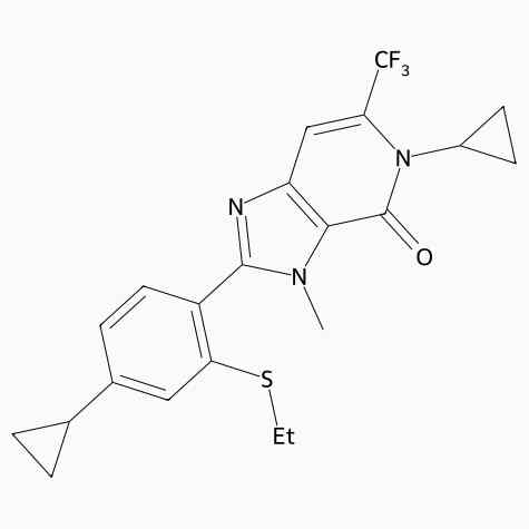 CCSc1cc(C2CC2)ccc1-c1nc2cc(C(F)(F)F)n(C3CC3)c(=O)c2n1C